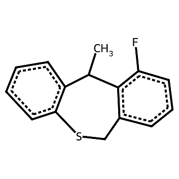 CC1c2ccccc2SCc2cccc(F)c21